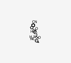 N#Cc1ccc2c(c1)CCC2N1C(=O)C2C[C@H]1CN2CC(N)C(=O)N1C(C#N)CC2CC21